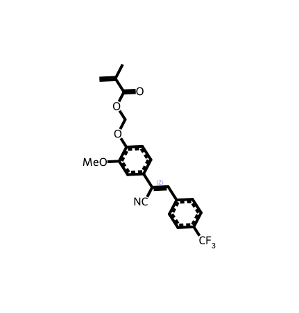 C=C(C)C(=O)OCOc1ccc(/C(C#N)=C/c2ccc(C(F)(F)F)cc2)cc1OC